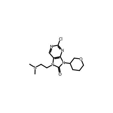 CN(C)CCn1c(=O)n(C2CCCOC2)c2nc(Cl)ncc21